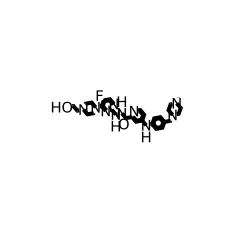 CN1CCN(Cc2ccc(Nc3ccnc(C(=O)NNc4ncc(F)c(N5CCN(CCO)CC5)n4)c3)cc2)CC1